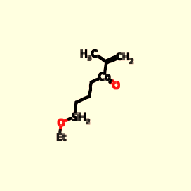 C=[C](C)[Co](=[O])[CH2]CC[SiH2]OCC